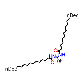 CCCCCCCCCCCCCCCCCCCCCC(=O)NC(CCC)NC(=O)CCCCCCCCCCCCCCCCCCCCC